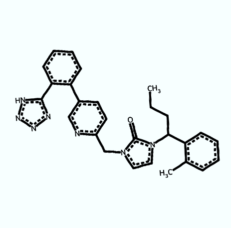 CCCC(c1ccccc1C)n1ccn(Cc2ccc(-c3ccccc3-c3nnn[nH]3)cn2)c1=O